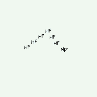 F.F.F.F.F.F.[Np]